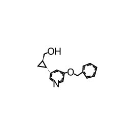 OC[C@@H]1C[C@H]1c1cncc(OCc2ccccc2)c1